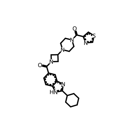 O=C(c1ccc2[nH]c(C3CCCCC3)nc2c1)N1CC(N2CCN(C(=O)c3cscn3)CC2)C1